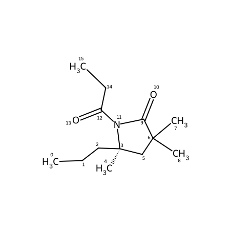 CCC[C@]1(C)CC(C)(C)C(=O)N1C(=O)CC